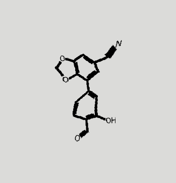 N#Cc1cc2c(c(-c3ccc(C=O)c(O)c3)c1)OCO2